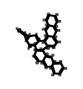 O=c1c2cc3c(nc12)c1ccc2cc4ccccc4cc2c1c1ccc2cc4ccccc4cc2c31